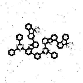 CC1(C)c2ccccc2-c2ccc(-c3cccc4c3oc3c(-c5nc(-c6ccccc6)nc(-c6ccccc6)n5)ccc(-c5cccc(-c6nc(-c7ccccc7)nc(-c7cccc8c7oc7c(-c9cccc%10c9-c9ccccc9C%10(C)C)cccc78)n6)c5)c34)cc21